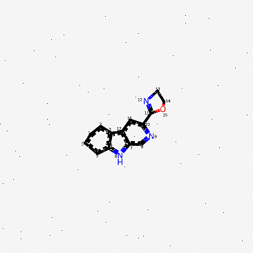 c1ccc2c(c1)[nH]c1cnc(C3=NCCO3)cc12